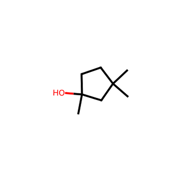 CC1(C)CCC(C)(O)C1